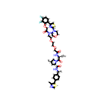 Cc1ncsc1-c1ccc([C@H](C)NC(=O)[C@@H]2C[C@@H](C)CN2C(=O)[C@@H](NC(=O)COCCOCCNC(=O)COc2c(-c3csc(N4CCOCC4)n3)ccc(F)c2F)C(C)(C)C)cc1